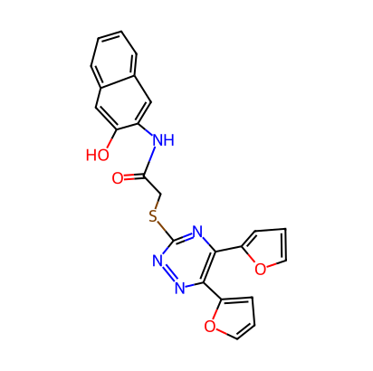 O=C(CSc1nnc(-c2ccco2)c(-c2ccco2)n1)Nc1cc2ccccc2cc1O